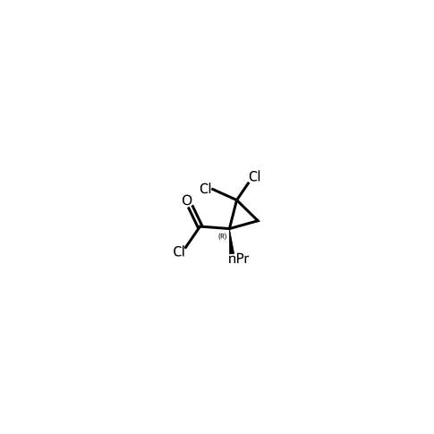 CCC[C@]1(C(=O)Cl)CC1(Cl)Cl